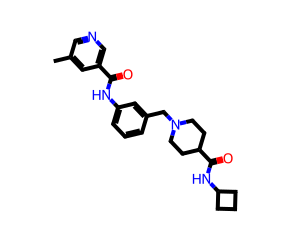 Cc1cncc(C(=O)Nc2cccc(CN3CCC(C(=O)NC4CCC4)CC3)c2)c1